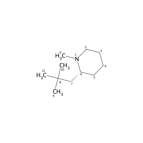 CN1CCCC[C@@H]1CC(C)(C)C